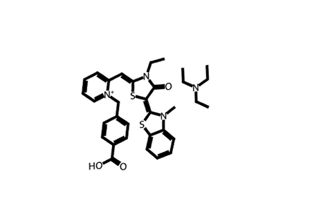 CCN(CC)CC.CCn1c(=Cc2cccc[n+]2Cc2ccc(C(=O)O)cc2)sc(=C2Sc3ccccc3N2C)c1=O